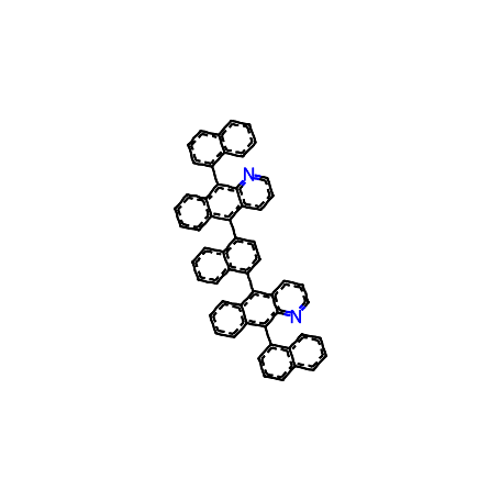 c1ccc2c(-c3c4ccccc4c(-c4ccc(-c5c6ccccc6c(-c6cccc7ccccc67)c6ncccc56)c5ccccc45)c4cccnc34)cccc2c1